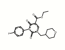 CCOC(=O)c1cn(CC2CCOCC2)c(=O)n(-c2ccc(F)cc2)c1=O